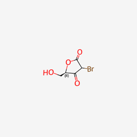 O=C1O[C@H](CO)C(=O)C1Br